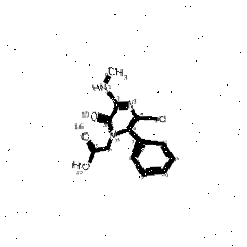 CNc1nc(Cl)c(-c2ccccc2)n(CC(=O)O)c1=O